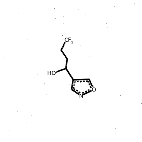 OC(CCC(F)(F)F)c1cnoc1